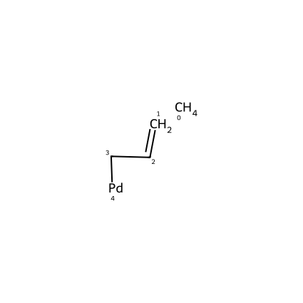 C.C=C[CH2][Pd]